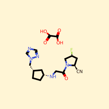 N#C[C@@H]1C[C@H](F)CN1C(=O)CN[C@@H]1CC[C@H](Cn2cncn2)C1.O=C(O)C(=O)O